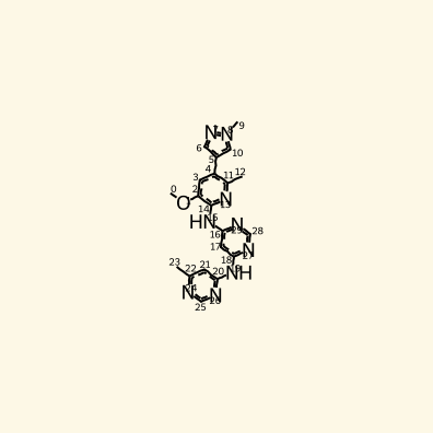 COc1cc(-c2cnn(C)c2)c(C)nc1Nc1cc(Nc2cc(C)ncn2)ncn1